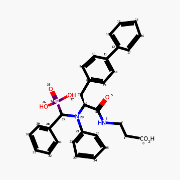 O=C(O)CCNC(=O)[C@H](Cc1ccc(-c2ccccc2)cc1)N(c1ccccc1)C(c1ccccc1)P(=O)(O)O